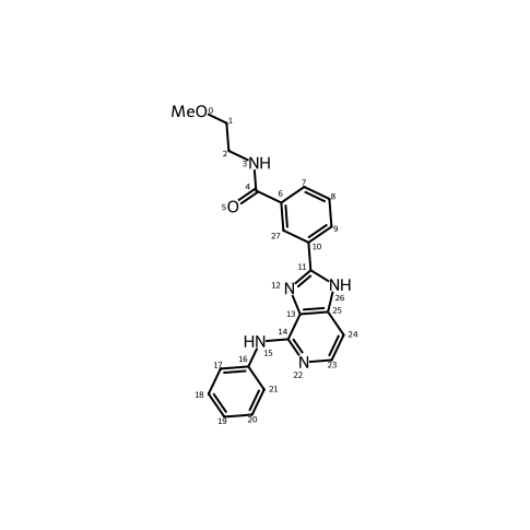 COCCNC(=O)c1cccc(-c2nc3c(Nc4ccccc4)nccc3[nH]2)c1